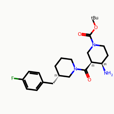 CC(C)(C)OC(=O)N1CC[C@@H](N)[C@@H](C(=O)N2CCC[C@@H](Cc3ccc(F)cc3)C2)C1